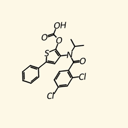 CC(C)N(C(=O)c1ccc(Cl)cc1Cl)c1cc(-c2ccccc2)sc1OC(=O)O